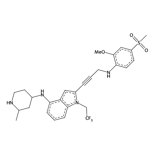 COc1cc(S(C)(=O)=O)ccc1NCC#Cc1cc2c(NC3CCNC(C)C3)cccc2n1CC(F)(F)F